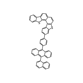 c1ccc2c(-c3c4ccccc4c(-c4ccc(-c5ccc6c(c5)sc5ccc7ccc8c9ccccc9sc8c7c56)cc4)c4ccccc34)cccc2c1